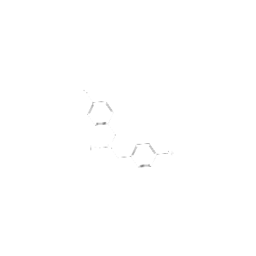 CC(C)N(Cc1ccc([N+](=O)[O-])cc1)Cc1ccc([N+](=O)[O-])cc1